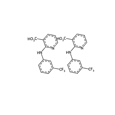 O=C(O)c1cccnc1Nc1cccc(C(F)(F)F)c1.O=C(O)c1cccnc1Nc1cccc(C(F)(F)F)c1